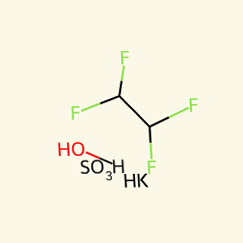 FC(F)C(F)F.O=S(=O)(O)O.[KH]